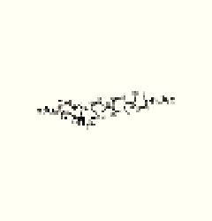 CCCCCCCCCCc1ccc(-c2ccc(-c3ccc(-c4ccc(OC(C)CCCC)cc4)c(C)c3)cc2)cc1